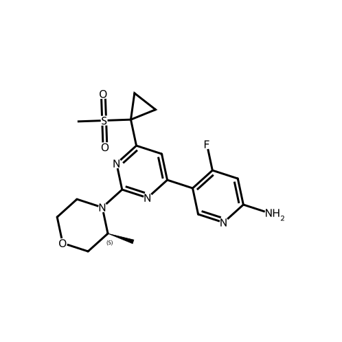 C[C@H]1COCCN1c1nc(-c2cnc(N)cc2F)cc(C2(S(C)(=O)=O)CC2)n1